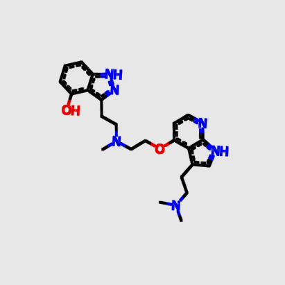 CN(C)CCc1c[nH]c2nccc(OCCN(C)CCc3n[nH]c4cccc(O)c34)c12